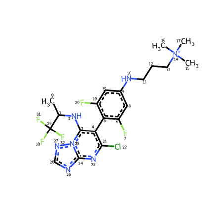 CC(Nc1c(-c2c(F)cc(NCCC[N+](C)(C)C)cc2F)c(Cl)nc2ncnn12)C(F)(F)F